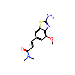 COc1cc(/C=C/C(=O)N(C)C)cc2sc(N)nc12